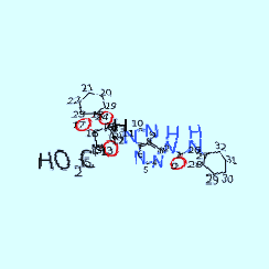 O=C(Nc1ncnc2c1ncn2[C@@H]1O[C@H](C(=O)O)C2OC3(CCCCC3)O[C@@H]21)NC1CCCCC1